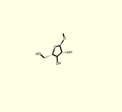 CO[C@@H]1O[C@@H](CO)C(O)[C@H]1O